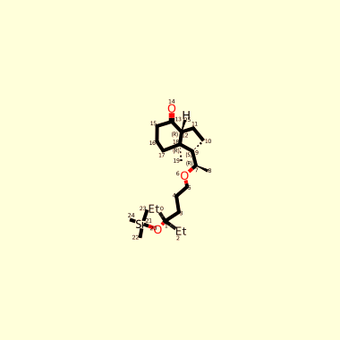 CCC(CC)(CCCO[C@H](C)[C@H]1CC[C@H]2C(=O)CCC[C@]12C)O[Si](C)(C)C